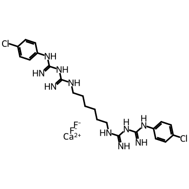 N=C(NCCCCCCNC(=N)NC(=N)Nc1ccc(Cl)cc1)NC(=N)Nc1ccc(Cl)cc1.[Ca+2].[F-].[F-]